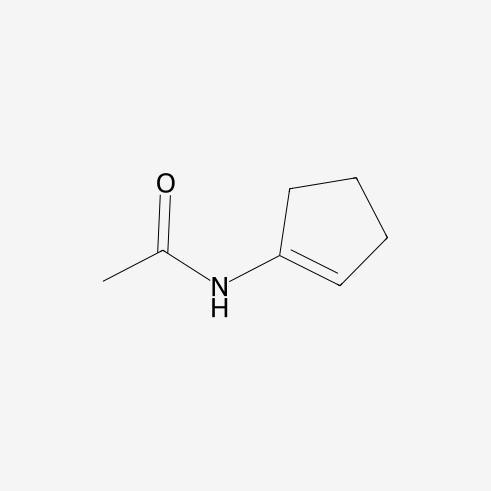 CC(=O)NC1=CCCC1